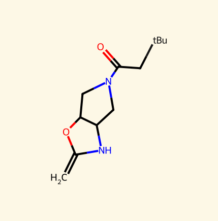 C=C1NC2CN(C(=O)CC(C)(C)C)CC2O1